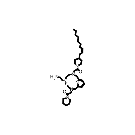 CCCCCCC/C=C\CC1CCN(C(=O)CN2CCN(CCN)CCN(CC(=O)N3CCCCC3)Cc3cccc(n3)C2)CC1